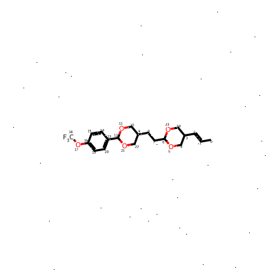 C/C=C/C1COC(CCC2COC(c3ccc(OC(F)(F)F)cc3)OC2)OC1